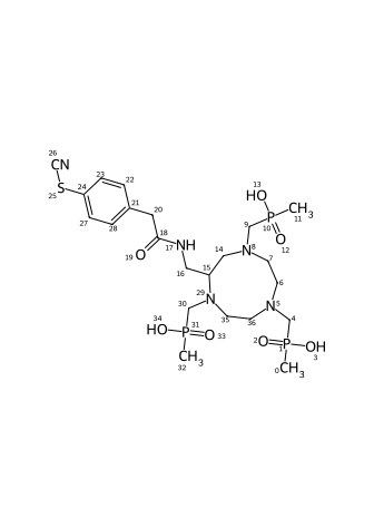 CP(=O)(O)CN1CCN(CP(C)(=O)O)CC(CNC(=O)Cc2ccc(SC#N)cc2)N(CP(C)(=O)O)CC1